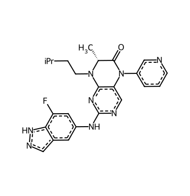 CC(C)CCN1c2nc(Nc3cc(F)c4[nH]ncc4c3)ncc2N(c2cccnc2)C(=O)[C@H]1C